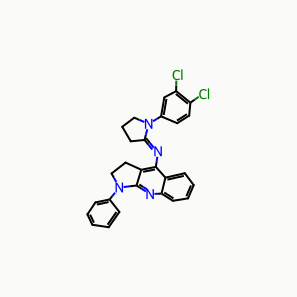 Clc1ccc(N2CCC/C2=N\c2c3c(nc4ccccc24)N(c2ccccc2)CC3)cc1Cl